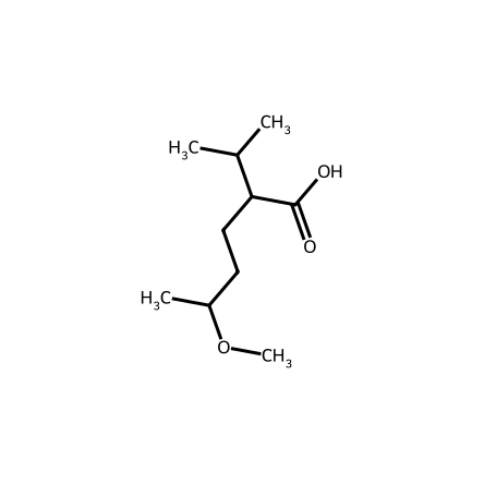 COC(C)CCC(C(=O)O)C(C)C